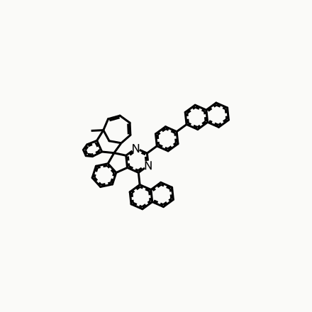 CC12C=CC=CC(C1)C1(c3ccccc3-c3c(-c4cccc5ccccc45)nc(-c4ccc(-c5ccc6ccccc6c5)cc4)nc31)c1ccccc12